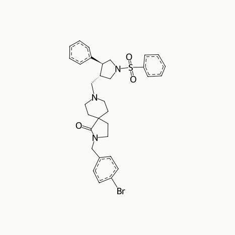 O=C1N(Cc2ccc(Br)cc2)CCC12CCN(C[C@H]1CN(S(=O)(=O)c3ccccc3)C[C@@H]1c1ccccc1)CC2